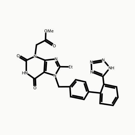 CCc1nc2c(c(=O)[nH]c(=O)n2CC(=O)OC)n1Cc1ccc(-c2ccccc2-c2nnn[nH]2)cc1